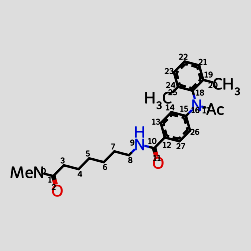 CNC(=O)CCCCCCNC(=O)c1ccc(N(C(C)=O)c2c(C)cccc2C)cc1